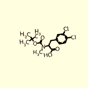 CN(C(=O)OC(C)(C)C)C(Cc1ccc(Cl)c(Cl)c1)C(=O)O